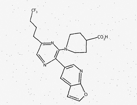 O=C(O)C1CCN(c2nc(CCCC(F)(F)F)cnc2-c2cnc3occc3c2)CC1